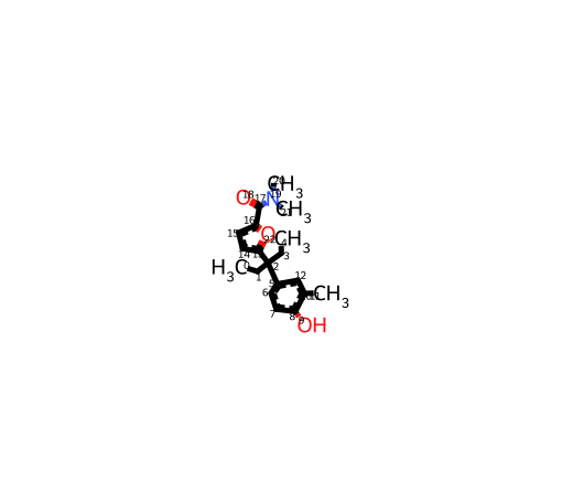 CCC(CC)(c1ccc(O)c(C)c1)c1ccc(C(=O)N(C)C)o1